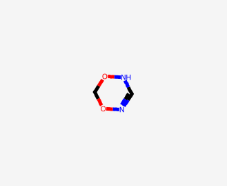 C1=NOCON1